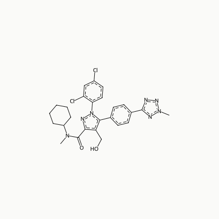 CN(C(=O)c1nn(-c2ccc(Cl)cc2Cl)c(-c2ccc(-c3nnn(C)n3)cc2)c1CO)C1CCCCC1